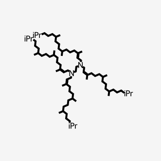 CC(=CCN(CC=C(C)CCCC(C)CCCC(C)CCCC(C)C)CCN(CC=C(C)CCCC(C)CCCC(C)CCCC(C)C)CC=C(C)CCCC(C)CCCC(C)CCCC(C)C)CCCC(C)CCCC(C)CCCC(C)C